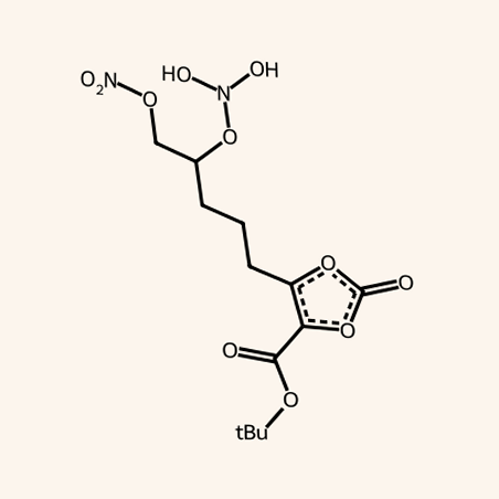 CC(C)(C)OC(=O)c1oc(=O)oc1CCCC(CO[N+](=O)[O-])ON(O)O